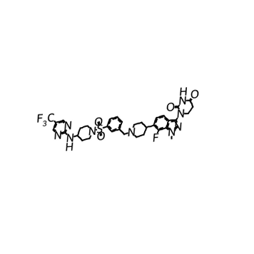 Cn1nc(N2CCC(=O)NC2=O)c2ccc(C3CCN(Cc4cccc(S(=O)(=O)N5CCC(Nc6ncc(C(F)(F)F)cn6)CC5)c4)CC3)c(F)c21